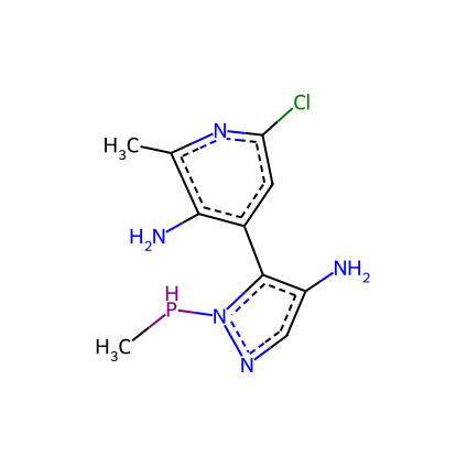 CPn1ncc(N)c1-c1cc(Cl)nc(C)c1N